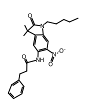 CCCCCN1C(=O)C(C)(C)c2cc(NC(=O)CCc3ccccc3)c([N+](=O)[O-])cc21